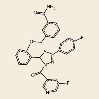 NC(=O)c1cccc(COc2ccccc2C2SC(c3ccc(F)cc3)=NN2C(=O)c2cncc(F)c2)c1